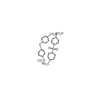 O=C(O)c1ccc(S(=O)(=O)c2ccc(C(=O)O)cc2)cc1.O=C(O)c1ccc(Sc2ccc(C(=O)O)cc2)cc1